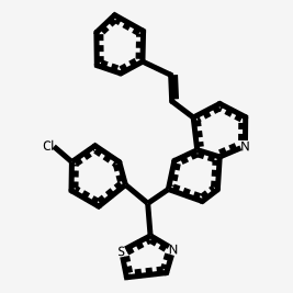 Clc1ccc(C(c2ccc3nccc(C=Cc4ccccc4)c3c2)c2nccs2)cc1